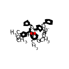 COc1ccc(C(CN(Cc2ccccc2)[C@@H](CO)c2ccc(OCc3ccccc3)c([N+](=O)[O-])c2)c2ccc(OC)c(C)c2)cc1C